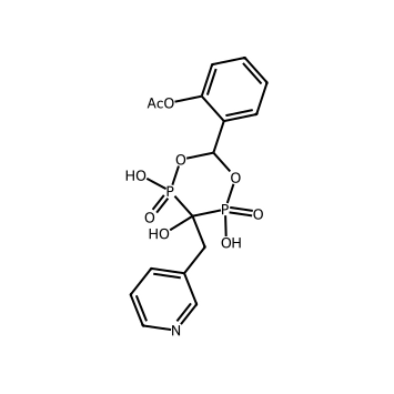 CC(=O)Oc1ccccc1C1OP(=O)(O)C(O)(Cc2cccnc2)P(=O)(O)O1